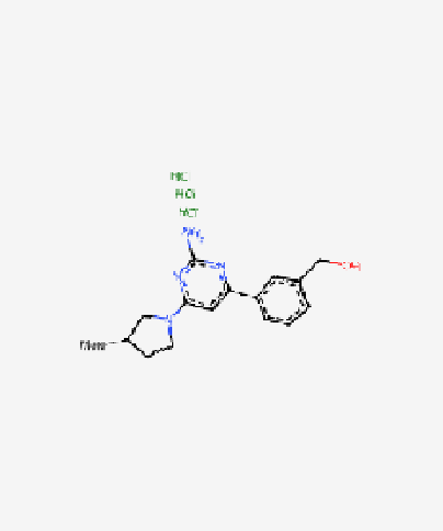 CNC1CCN(c2cc(-c3cccc(CO)c3)nc(N)n2)C1.Cl.Cl.Cl